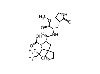 COC(=O)[C@H](C[C@@H]1CCNC1=O)NC(=O)[C@@H]1CC2(CCCC2)C(C(C)(C)C)N1C(=O)O